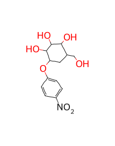 O=[N+]([O-])c1ccc(OC2CC(CO)C(O)C(O)C2O)cc1